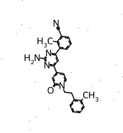 Cc1ccccc1CCn1ccc(-c2cc(-c3cccc(C#N)c3C)nc(N)n2)cc1=O